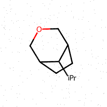 CC(C)C1C2CCC1COC2